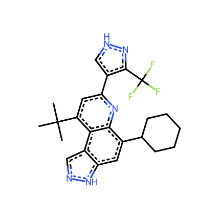 CC(C)(C)c1cc(-c2c[nH]nc2C(F)(F)F)nc2c(C3CCCCC3)cc3[nH]ncc3c12